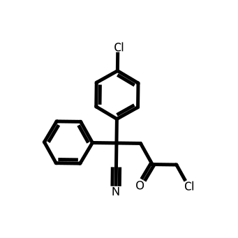 N#CC(CC(=O)CCl)(c1ccccc1)c1ccc(Cl)cc1